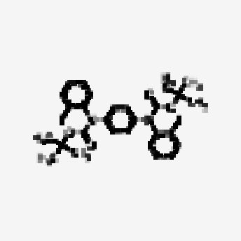 CC(C)(C)OC(=O)N(c1ccc(N(C(=O)OC(C)(C)C)c2ccccc2I)cc1)c1ccccc1I